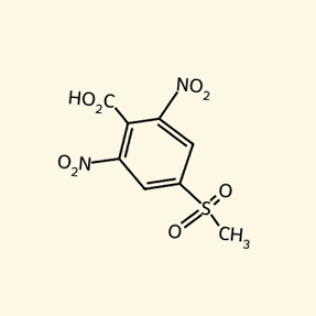 CS(=O)(=O)c1cc([N+](=O)[O-])c(C(=O)O)c([N+](=O)[O-])c1